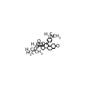 CC(=O)O[C@]1(C(=O)COC(C)(C)C)CCC2C3CCC4=CC(=O)CCC4=C3C(c3ccc(N(C)C)cc3)C[C@@]21C